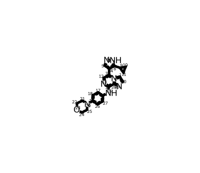 c1cn2c(-c3cn[nH]c3C3CC3)cnc(Nc3ccc(N4CCOCC4)cc3)c2n1